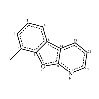 Cc1cccc2c1oc1ncccc12